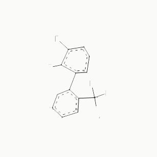 Fc1cccc(-c2c[c]ccc2C(F)(F)F)c1F